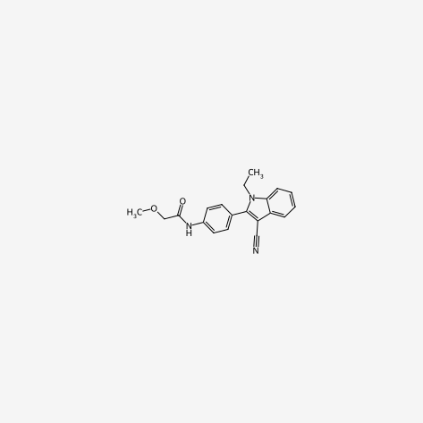 CCn1c(-c2ccc(NC(=O)COC)cc2)c(C#N)c2ccccc21